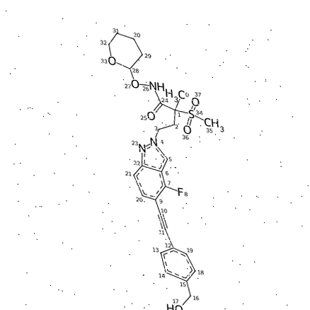 CC(CCn1cc2c(F)c(C#Cc3ccc(CO)cc3)ccc2n1)(C(=O)NOC1CCCCO1)S(C)(=O)=O